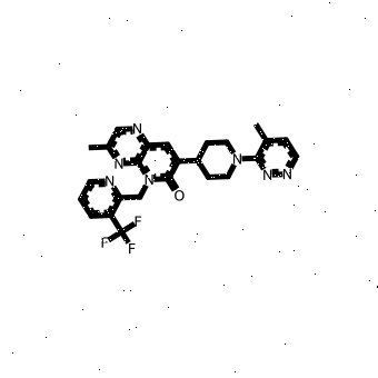 Cc1cnc2cc(C3CCN(c4nnccc4C)CC3)c(=O)n(Cc3ncccc3C(F)(F)F)c2n1